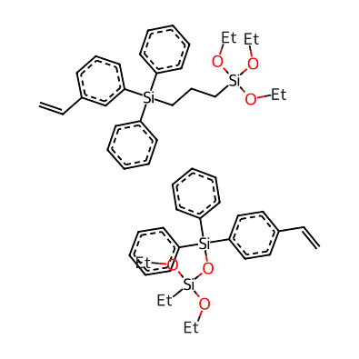 C=Cc1ccc([Si](O[Si](CC)(OCC)OCC)(c2ccccc2)c2ccccc2)cc1.C=Cc1cccc([Si](CCC[Si](OCC)(OCC)OCC)(c2ccccc2)c2ccccc2)c1